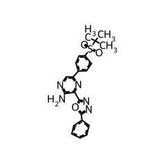 CC(C)(C)S(=O)(=O)c1ccc(-c2cnc(N)c(-c3nnc(-c4ccccc4)o3)n2)cc1